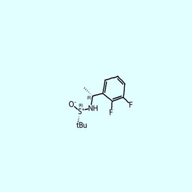 C[C@@H](N[S@@+]([O-])C(C)(C)C)c1cccc(F)c1F